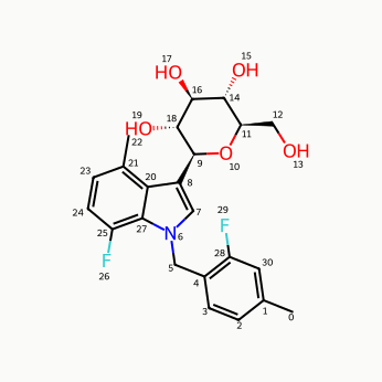 Cc1ccc(Cn2cc([C@@H]3O[C@H](CO)[C@@H](O)[C@H](O)[C@H]3O)c3c(C)ccc(F)c32)c(F)c1